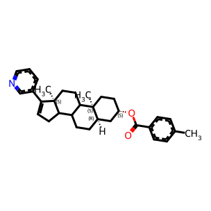 Cc1ccc(C(=O)O[C@H]2CC[C@]3(C)C4CC[C@]5(C)C(c6cccnc6)=CCC5C4CC[C@@H]3C2)cc1